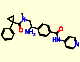 CN(CC(N)c1ccc(C(=O)Nc2ccncc2)cc1)C(=O)C1(c2ccccc2)CC1